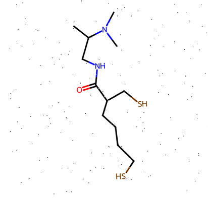 CC(CNC(=O)C(CS)CCCCS)N(C)C